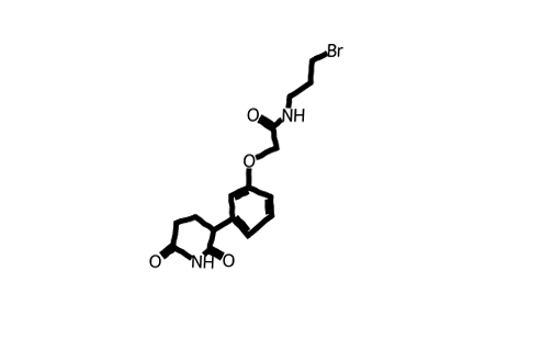 O=C(COc1cccc(C2CCC(=O)NC2=O)c1)NCCCBr